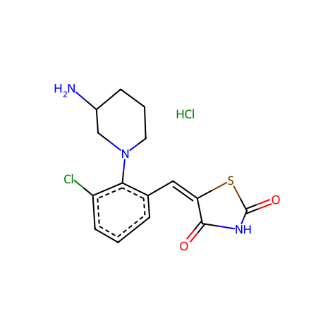 Cl.NC1CCCN(c2c(Cl)cccc2C=C2SC(=O)NC2=O)C1